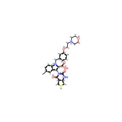 Cc1ccc2c(c1)c(-n1c(=O)[nH]c3cscc3c1=O)c(C(=O)O)n2Cc1cccc(OCCN2CCOCC2)c1